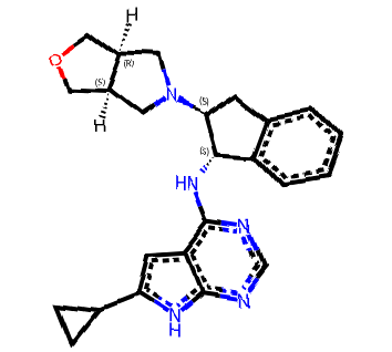 c1ccc2c(c1)C[C@H](N1C[C@H]3COC[C@H]3C1)[C@H]2Nc1ncnc2[nH]c(C3CC3)cc12